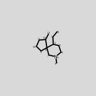 CCC1CCN(C)CC12CCCC2C